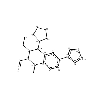 CCC1C(C=O)N(C)c2cnc(-n3ccnc3)nc2N1C1CCCC1